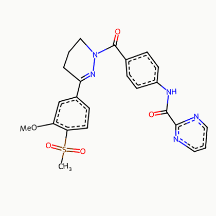 COc1cc(C2=NN(C(=O)c3ccc(NC(=O)c4ncccn4)cc3)CCC2)ccc1S(C)(=O)=O